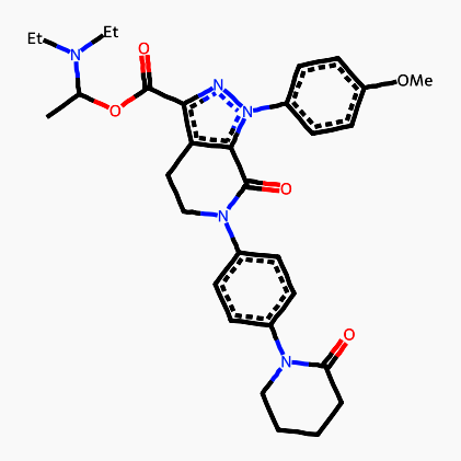 CCN(CC)C(C)OC(=O)c1nn(-c2ccc(OC)cc2)c2c1CCN(c1ccc(N3CCCCC3=O)cc1)C2=O